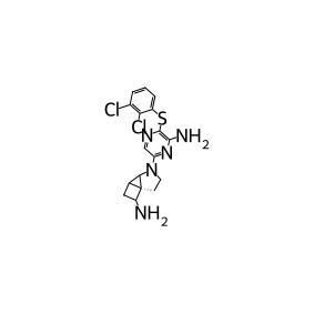 Nc1nc(N2CC[C@]34C(N)CC3C24)cnc1Sc1cccc(Cl)c1Cl